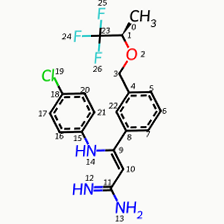 C[C@@H](OCc1cccc(/C(=C/C(=N)N)Nc2ccc(Cl)cc2)c1)C(F)(F)F